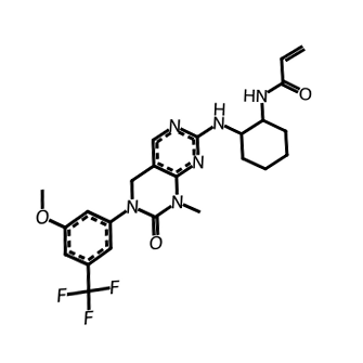 C=CC(=O)NC1CCCCC1Nc1ncc2c(n1)N(C)C(=O)N(c1cc(OC)cc(C(F)(F)F)c1)C2